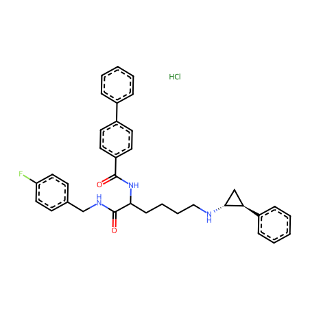 Cl.O=C(NC(CCCCN[C@@H]1C[C@H]1c1ccccc1)C(=O)NCc1ccc(F)cc1)c1ccc(-c2ccccc2)cc1